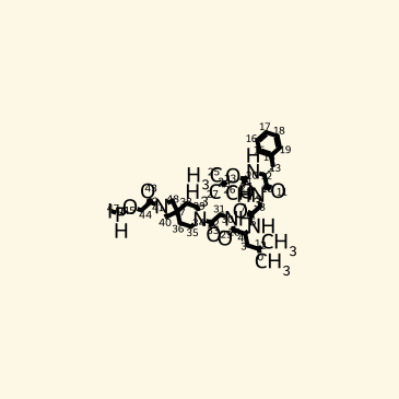 CC(C)CC(NC(=O)CNC(=O)[C@@H](Cc1ccccc1)NC(=O)OC(C)(C)C)C(=O)NCC(=O)N1CCC2(CC1)CN(C(=O)COPI)C2